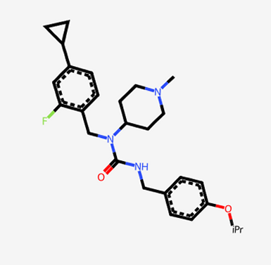 CC(C)Oc1ccc(CNC(=O)N(Cc2ccc(C3CC3)cc2F)C2CCN(C)CC2)cc1